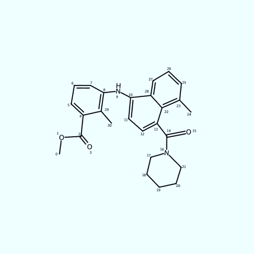 COC(=O)c1cccc(Nc2ccc(C(=O)N3CCCCC3)c3c(C)cccc23)c1C